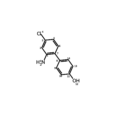 Nc1cc(Cl)ccc1-c1ccc(O)cc1